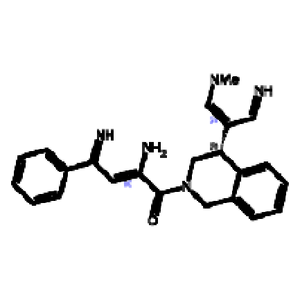 CN/C=C(\C=N)[C@H]1CN(C(=O)/C(N)=C/C(=N)c2ccccc2)Cc2ccccc21